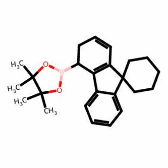 CC1(C)OB(C2CC=CC3=C2c2ccccc2C32CCCCC2)OC1(C)C